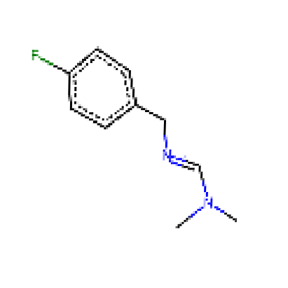 CN(C)/C=N/Cc1ccc(F)cc1